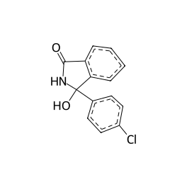 O=C1NC(O)(c2ccc(Cl)cc2)c2ccccc21